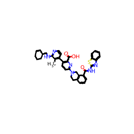 Cc1c(-c2ccc(N3CCc4cccc(C(=O)Nc5nc6ccccc6s5)c4C3)nc2C(=O)O)ccnc1NCC1CCCCC1